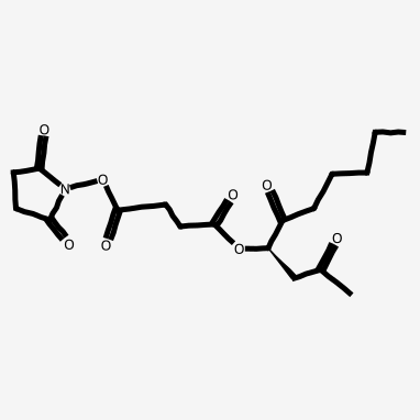 CCCCCC(=O)[C@@H](CC(C)=O)OC(=O)CCC(=O)ON1C(=O)CCC1=O